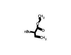 C=COC(=O)C(C=C)CCCC